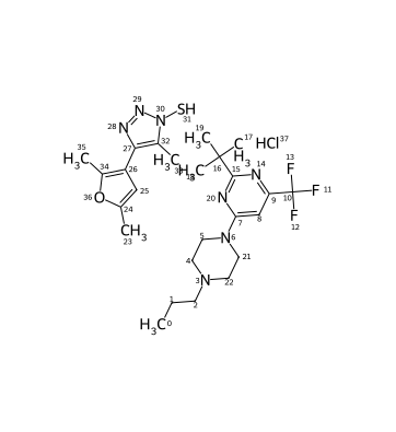 CCCN1CCN(c2cc(C(F)(F)F)nc(C(C)(C)C)n2)CC1.Cc1cc(-c2nnn(S)c2C)c(C)o1.Cl